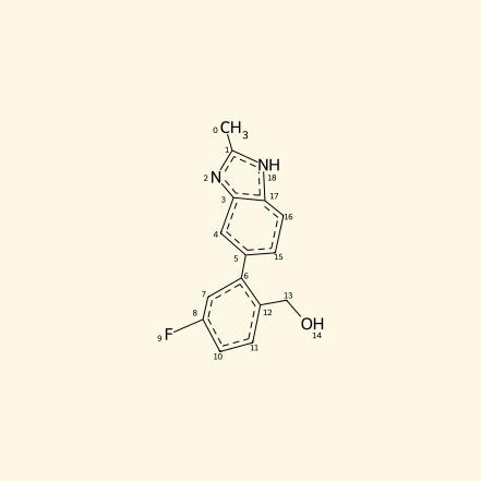 Cc1nc2cc(-c3cc(F)ccc3CO)ccc2[nH]1